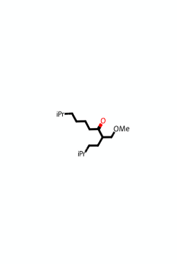 COCC(CCC(C)C)C(=O)CCCCC(C)C